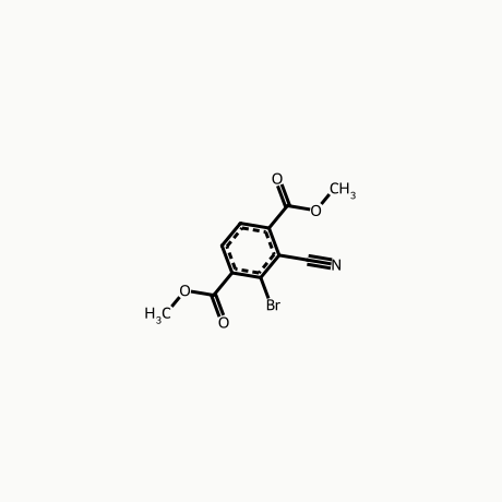 COC(=O)c1ccc(C(=O)OC)c(C#N)c1Br